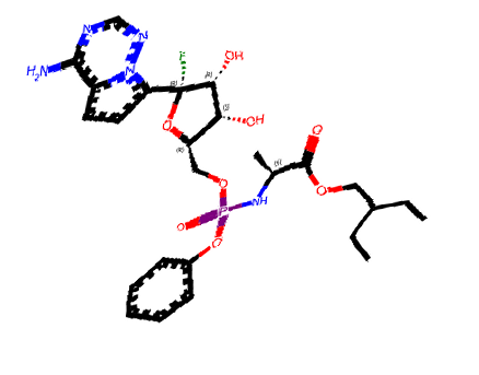 CCC(CC)COC(=O)[C@H](C)NP(=O)(OC[C@H]1O[C@@](F)(c2ccc3c(N)ncnn23)[C@H](O)[C@@H]1O)Oc1ccccc1